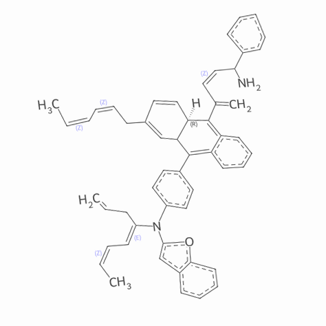 C=CC/C(=C\C=C/C)N(c1ccc(C2=c3ccccc3=C(C(=C)/C=C\C(N)c3ccccc3)[C@@H]3C=CC(C/C=C\C=C/C)=CC23)cc1)c1cc2ccccc2o1